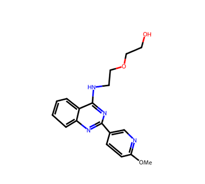 COc1ccc(-c2nc(NCCOCCO)c3ccccc3n2)cn1